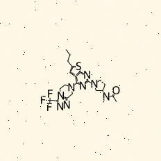 CCCc1cc2c(N3CCn4c(nnc4C(F)(F)F)C3)nc(N3CC[C@H](N(C)C(C)=O)C3)nc2s1